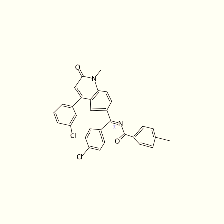 Cc1ccc(C(=O)/N=C(\c2ccc(Cl)cc2)c2ccc3c(c2)c(-c2cccc(Cl)c2)cc(=O)n3C)cc1